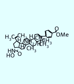 C=C(C)C1CC[C@]2(C(=O)NO)CC[C@]3(N)[C@H](CC[C@@H]4[C@@]5(C)CC=C(c6ccc(C(=O)OC)cc6)C(C)(C)[C@@H]5CC[C@]43C)[C@@H]12